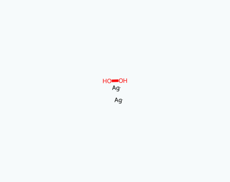 OO.[Ag].[Ag]